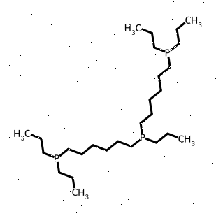 CCCP(CCC)CCCCCCP(CCC)CCCCCCP(CCC)CCC